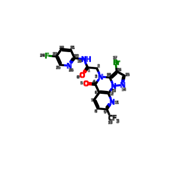 O=C(Cn1c(=O)c2ccc(C(F)(F)F)nc2n2ncc(Br)c12)Nc1ccc(F)cn1